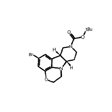 CC(C)(C)OC(=O)N1CC[C@H]2[C@@H](C1)c1cc(Br)cc3c1N2CCO3